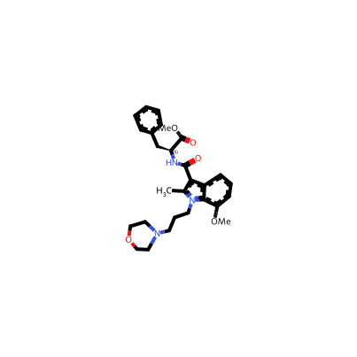 COC(=O)[C@H](Cc1ccccc1)NC(=O)c1c(C)n(CCCN2CCOCC2)c2c(OC)cccc12